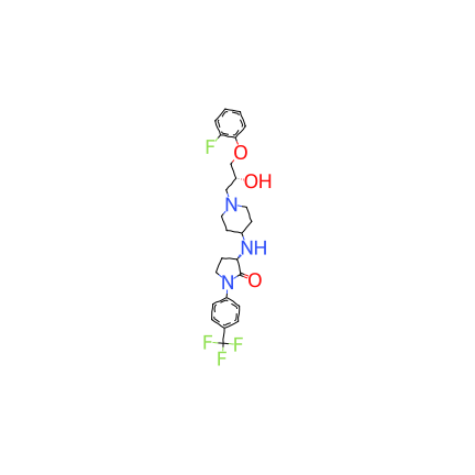 O=C1[C@H](NC2CCN(C[C@@H](O)COc3ccccc3F)CC2)CCN1c1ccc(C(F)(F)F)cc1